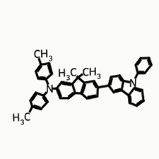 Cc1ccc(N(c2ccc(C)cc2)c2ccc3c(c2)C(C)(C)c2cc(-c4ccc5c(c4)c4ccccc4n5-c4ccccc4)ccc2-3)cc1